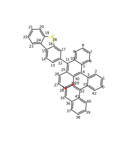 c1ccc(-c2c3ccccc3c(-c3ccc4c(c3)sc3ccccc34)c3ccccc23)c(-c2cccc3ccccc23)c1